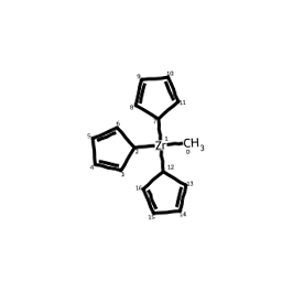 [CH3][Zr]([CH]1C=CC=C1)([CH]1C=CC=C1)[CH]1C=CC=C1